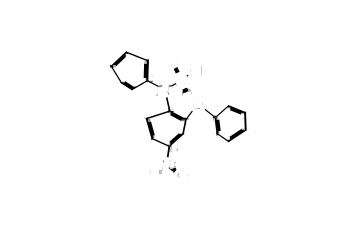 CS(=O)(=O)N(c1ccccc1)c1ccc([N+](=O)[O-])cc1Oc1ccccc1